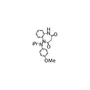 COc1ccc(N(C(C)C)N2C(=O)CC(=O)Nc3ccccc32)cc1